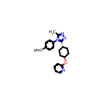 COc1ccc(-n2c(C)nnc2[C@H]2CC[C@H](Oc3ccccn3)CC2)cc1